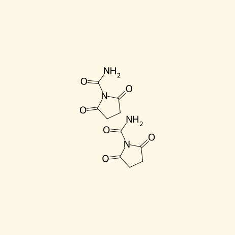 NC(=O)N1C(=O)CCC1=O.NC(=O)N1C(=O)CCC1=O